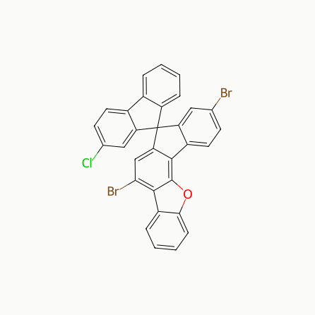 Clc1ccc2c(c1)C1(c3ccccc3-2)c2cc(Br)ccc2-c2c1cc(Br)c1c2oc2ccccc21